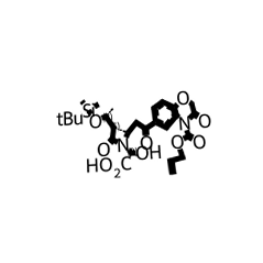 C=CCOC(=O)N1C(=O)COc2ccc(C(=O)CC3[C@@H]([C@@H](C)O[Si](C)(C)C(C)(C)C)C(=O)N3[C@H](O)C(=O)O)cc21